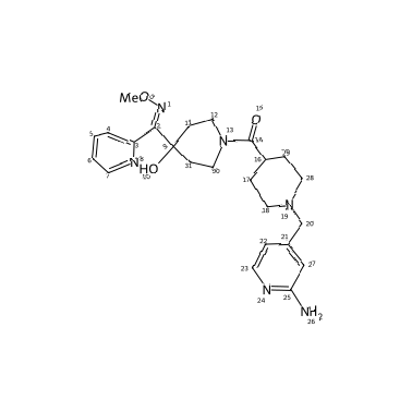 CON=C(c1ccccn1)C1(O)CCN(C(=O)C2CCN(Cc3ccnc(N)c3)CC2)CC1